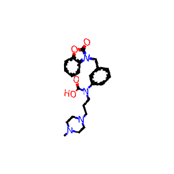 CN1CCN(CCCN(C(=O)O)c2cccc(Cn3c(=O)oc4ccccc43)c2)CC1